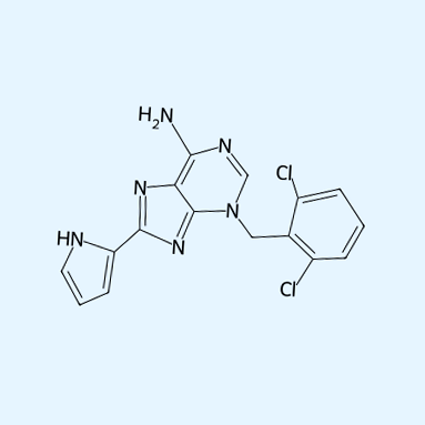 Nc1ncn(Cc2c(Cl)cccc2Cl)c2nc(-c3ccc[nH]3)nc1-2